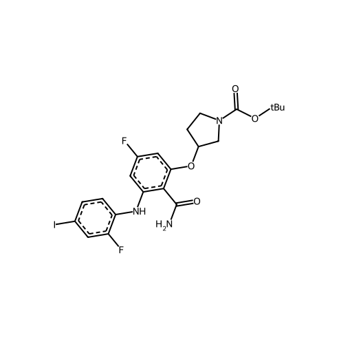 CC(C)(C)OC(=O)N1CCC(Oc2cc(F)cc(Nc3ccc(I)cc3F)c2C(N)=O)C1